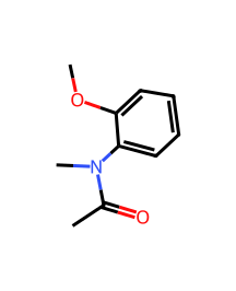 COc1ccccc1N(C)C(C)=O